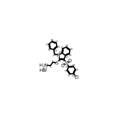 Br.NCCSc1c(S(=O)(=O)c2ccc(Cl)cc2)c2ccccc2n1Cc1ccccc1